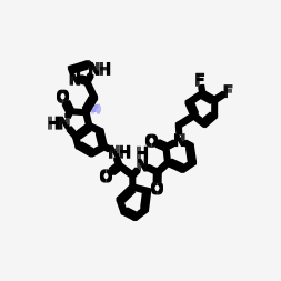 O=C1Nc2ccc(NC(=O)C(NC(=O)c3cccn(Cc4ccc(F)c(F)c4)c3=O)c3ccccc3)cc2/C1=C/c1ncc[nH]1